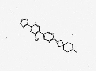 CN1CCC2(CC1)CN(c1ncc(-c3ccc(-c4ncco4)cc3O)nn1)C2